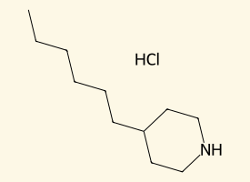 CCCCCCC1CCNCC1.Cl